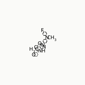 CC(Nc1cnn(-c2ccc(N(C)c3ccc(F)cc3)cc2)c(=O)c1Cl)[C@H]1CCCOC1